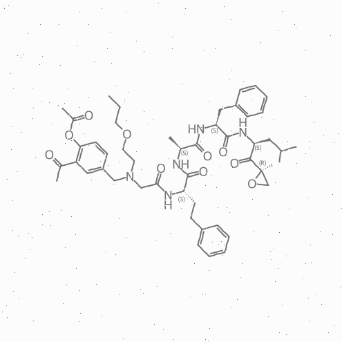 CCCOCCN(CC(=O)N[C@@H](CCc1ccccc1)C(=O)N[C@@H](C)C(=O)N[C@@H](Cc1ccccc1)C(=O)N[C@@H](CC(C)C)C(=O)[C@@]1(C)CO1)Cc1ccc(OC(C)=O)c(C(C)=O)c1